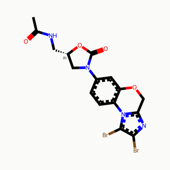 CC(=O)NC[C@H]1CN(c2ccc3c(c2)OCc2nc(Br)c(Br)n2-3)C(=O)O1